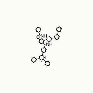 C1=C(c2cccc(-c3ccccc3)c2)C=C2NC(c3ccc(-c4cc(-c5ccccc5)nc(-c5ccccc5)n4)cc3)c3ccc4c(c3C2C1)NC(c1ccccc1)O4